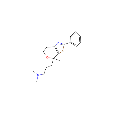 CN(C)CCCC1(C)OCCc2nc(-c3ccccc3)sc21